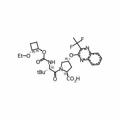 CCO[C@@H]1CC[C@H]1OC(=O)N[C@H](C(=O)N1C[C@H](Oc2nc3ccccc3nc2C(C)(F)F)C[C@H]1C(=O)O)C(C)(C)C